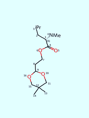 CN[C@@H](CC(C)C)C(=O)OCCC1OCC(C)(C)CO1